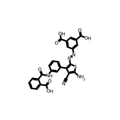 N#Cc1c(N)sc(N=Nc2cc(C(=O)O)cc(C(=O)O)c2)c1-c1cccc(NC(=O)c2ccccc2C(=O)O)c1